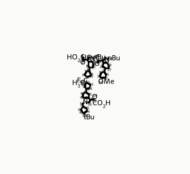 CCCCn1cc(C(=O)C(=O)O)c2cc(-c3ccc(C(F)(F)F)cc3)ccc21.CCCCn1cc(C(=O)C(=O)O)c2cc(-c3ccc(OC)cc3)ccc21.Cc1cccc(-c2ccc3c(c2)c(C(=O)C(=O)O)cn3Cc2ccc(C(C)(C)C)cc2)c1